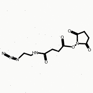 [N-]=[N+]=NCCNC(=O)CCC(=O)ON1C(=O)CCC1=O